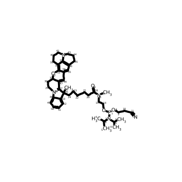 CC(C)N(C(C)C)P(OCCC#N)OCCN(C)C(=O)CCCCCC1(C)C2=[N+](CCC3Oc4c(cc5c6c4CCCN6CCC5)C=C23)c2ccccc21